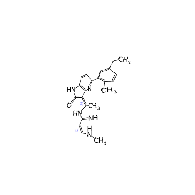 CCc1ccc(C)c(-c2ccc3c(n2)/C(=C(\C)NC(=N)/C=C\NC)C(=O)N3)c1